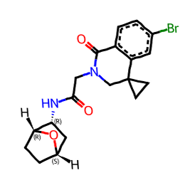 O=C(CN1CC2(CC2)c2cc(Br)ccc2C1=O)N[C@@H]1C[C@@H]2CC[C@H]1O2